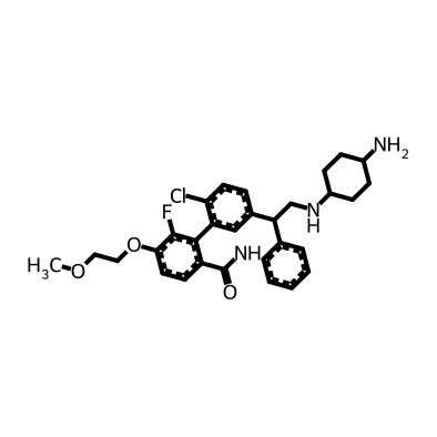 COCCOc1ccc(C(N)=O)c(-c2cc(C(CNC3CCC(N)CC3)c3ccccc3)ccc2Cl)c1F